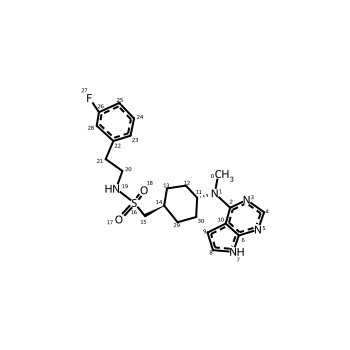 CN(c1ncnc2[nH]ccc12)[C@H]1CC[C@H](CS(=O)(=O)NCCc2cccc(F)c2)CC1